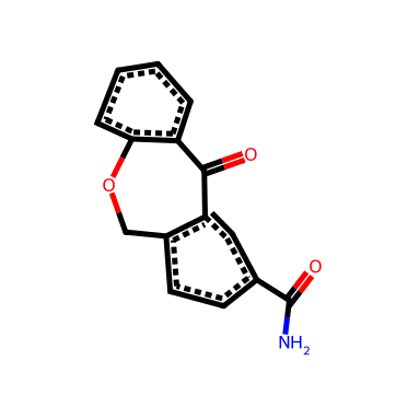 NC(=O)c1ccc2c(c1)C(=O)c1ccccc1OC2